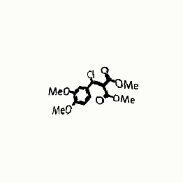 COC(=O)C(C(=O)OC)=C(Cl)c1ccc(OC)c(OC)c1